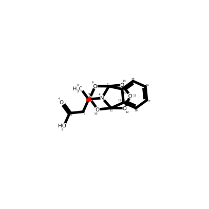 CC(CC(=O)O)N1C23OOOC1(OOO2)c1ccccc13